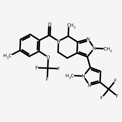 Cc1ccc(C(=O)N2CCc3c(nn(C)c3-c3cc(C(F)(F)F)nn3C)C2C)c(OC(F)(F)F)c1